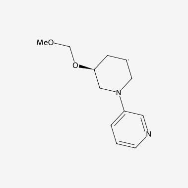 COCO[C@H]1C[CH]CN(c2cccnc2)C1